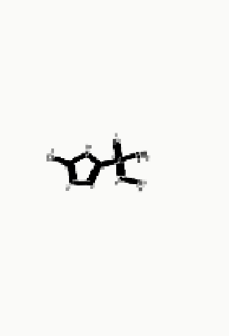 CCc1ncc(S(N)(=O)=NC(C)=O)s1